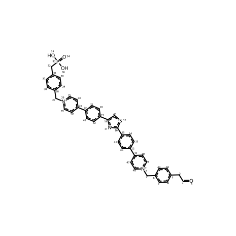 O=CCc1ccc(C[n+]2ccc(-c3ccc(-c4nc(-c5ccc(-c6cc[n+](Cc7ccc(CP(=O)(O)O)cc7)cc6)cc5)cs4)cc3)cc2)cc1